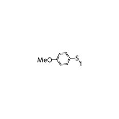 COc1ccc(SI)cc1